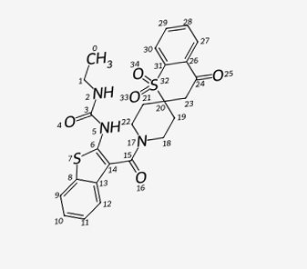 CCNC(=O)Nc1sc2ccccc2c1C(=O)N1CCC2(CC1)CC(=O)c1ccccc1S2(=O)=O